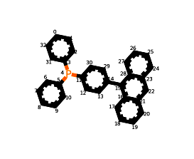 c1ccc(P(c2ccccc2)c2ccc(-c3c4ccccc4cc4ccccc34)cc2)cc1